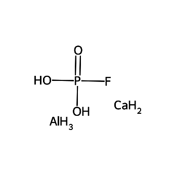 O=P(O)(O)F.[AlH3].[CaH2]